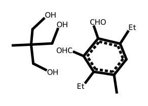 CC(CO)(CO)CO.CCc1cc(C)c(CC)c(C=O)c1C=O